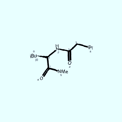 CC[C@H](C)C(NC(=O)CC(C)C)C(=O)NC